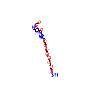 CNCCOCCOCCOCCOCCOCCOCCOCCOCCn1cc(CNC(=O)C2CCC(CN(C)C(=O)/C=C\C=O)CC2)nn1